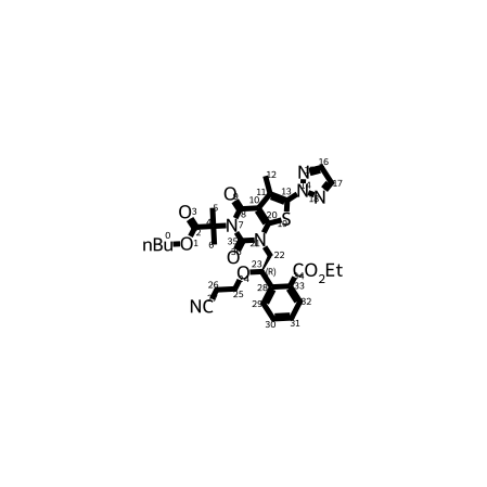 CCCCOC(=O)C(C)(C)n1c(=O)c2c(C)c(-n3nccn3)sc2n(C[C@H](OCCC#N)c2ccccc2C(=O)OCC)c1=O